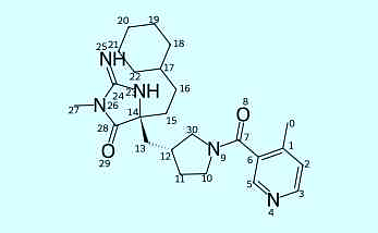 Cc1ccncc1C(=O)N1CC[C@H](C[C@]2(CCC3CCCCC3)NC(=N)N(C)C2=O)C1